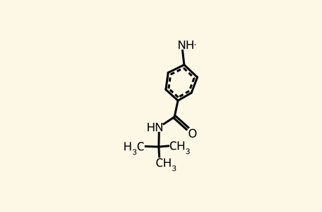 CC(C)(C)NC(=O)c1ccc([NH])cc1